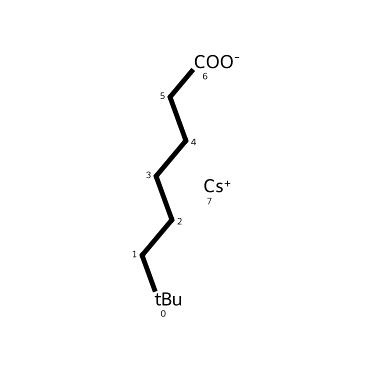 CC(C)(C)CCCCCC(=O)[O-].[Cs+]